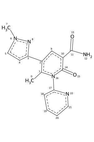 Cc1c(-c2ccn(C)n2)cc(C(N)=O)c(=O)n1-c1ccccn1